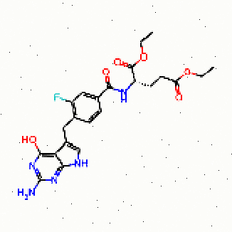 CCOC(=O)CC[C@H](NC(=O)c1ccc(Cc2c[nH]c3nc(N)nc(O)c23)c(F)c1)C(=O)OCC